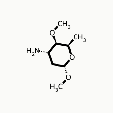 CO[C@@H]1C[C@H](N)[C@@H](OC)[C@@H](C)O1